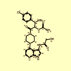 CC(C)(C)[C@H](c1ccc(Cl)cc1)C(OC(N)=O)C(=O)N1CCN(c2ccnc3[nH]cc(NC(=O)CO)c23)CC1